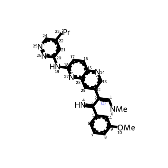 CN/C=C(\C(=N)c1cccc(OC)c1)c1cnc2ccc(Nc3cc(C(C)C)cnn3)nc2c1